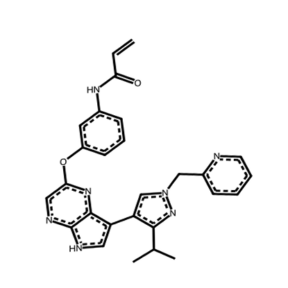 C=CC(=O)Nc1cccc(Oc2cnc3[nH]cc(-c4cn(Cc5ccccn5)nc4C(C)C)c3n2)c1